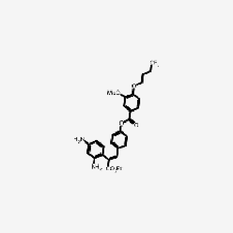 CCOC(=O)C(=Cc1ccc(OC(=O)c2ccc(OCCCC(F)(F)F)c(OC)c2)cc1)c1ccc(N)cc1N